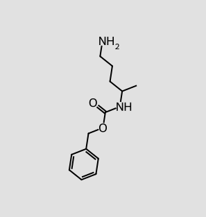 CC(CCCN)NC(=O)OCc1ccccc1